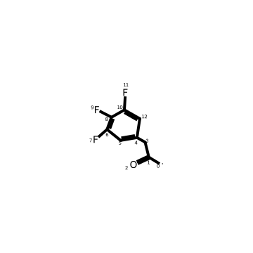 [CH2]C(=O)Cc1cc(F)c(F)c(F)c1